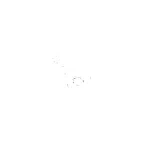 O=Nc1ccc(I)c(NC(=S)NC(=O)c2ccccc2)c1